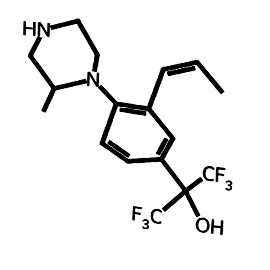 C/C=C\c1cc(C(O)(C(F)(F)F)C(F)(F)F)ccc1N1CCNCC1C